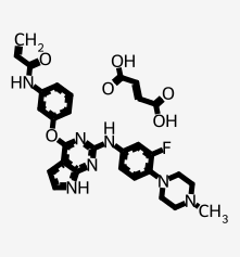 C=CC(=O)Nc1cccc(Oc2nc(Nc3ccc(N4CCN(C)CC4)c(F)c3)nc3[nH]ccc23)c1.O=C(O)/C=C/C(=O)O